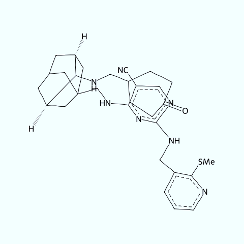 CSc1ncccc1CNc1ncc(C#N)c(NCC23CC4C[C@H](C2)C(NCC2CCC(=O)CC2)[C@@H](C4)C3)n1